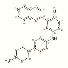 CN1CCN(c2ccc(Nc3ncc(Cl)c(-c4ccc5cncnc5c4)n3)cc2)CC1